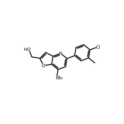 Cc1cc(-c2cc(C(C)(C)C)c3oc(CO)cc3n2)ccc1Cl